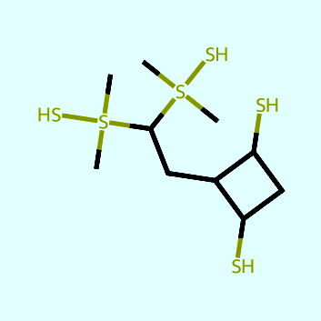 CS(C)(S)C(CC1C(S)CC1S)S(C)(C)S